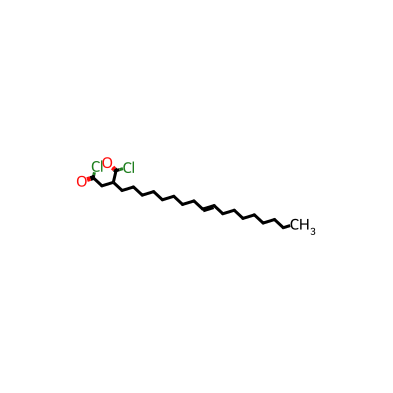 CCCCCCCCC=CCCCCCCCCC(CC(=O)Cl)C(=O)Cl